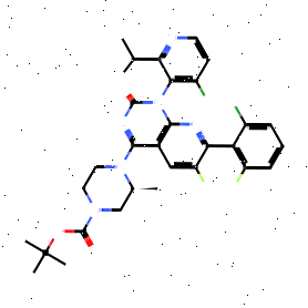 CC(C)c1nccc(Cl)c1-n1c(=O)nc(N2CCN(C(=O)OC(C)(C)C)C[C@@H]2C)c2cc(F)c(-c3c(F)cccc3Cl)nc21